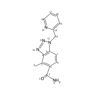 Cc1c(C(N)=O)ccc2c1nnn2Cc1ccccn1